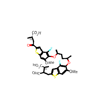 COc1cc2sc(CC(C=O)[C@H](C)C(=O)O)cc2c(F)c1OC(C)CCC(C)Oc1c(OC)cc2sc(C(=O)C[C@H](C)C(=O)O)cc2c1F